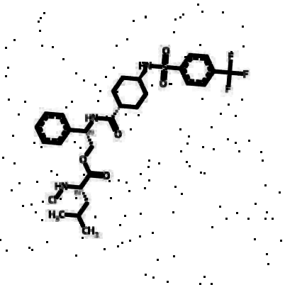 CC(C)C[C@H](NCl)C(=O)OC[C@@H](NC(=O)[C@H]1CC[C@H](NS(=O)(=O)c2ccc(C(F)(F)F)cc2)CC1)c1ccccc1